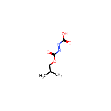 CC(C)COC(=O)N=NC(=O)O